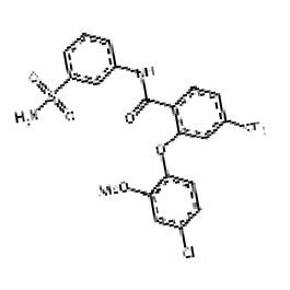 COc1cc(Cl)ccc1Oc1cc(C(F)(F)F)ccc1C(=O)Nc1cccc(S(N)(=O)=O)c1